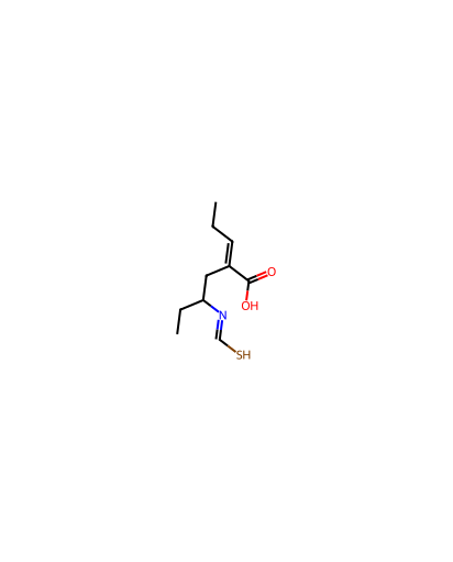 CC/C=C(\CC(CC)N=CS)C(=O)O